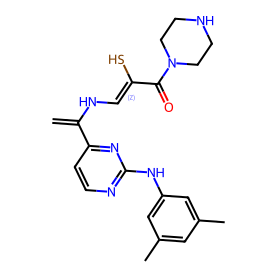 C=C(N/C=C(\S)C(=O)N1CCNCC1)c1ccnc(Nc2cc(C)cc(C)c2)n1